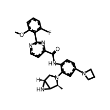 COc1cccc(F)c1-c1nccc(C(=O)Nc2ccc(N3CCC3)cc2N2C[C@H]3NC3[C@@H]2C)n1